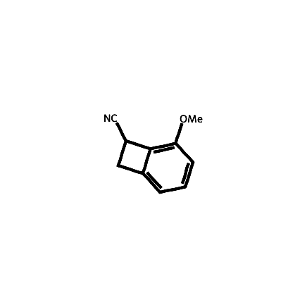 COc1cccc2c1C(C#N)C2